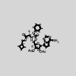 CC(=O)O[C@H]1[C@H](c2ccc3c(N)ncnn23)O[C@](C)(CO[P@@](=O)(N[C@@H](C)C(=O)OCC2CCC2)Oc2ccccc2)[C@H]1OC(C)=O